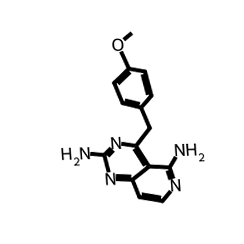 COc1ccc(Cc2nc(N)nc3ccnc(N)c23)cc1